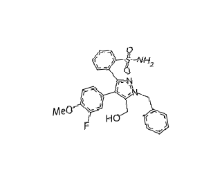 COc1ccc(-c2c(-c3ccccc3S(N)(=O)=O)nn(Cc3ccccc3)c2CO)cc1F